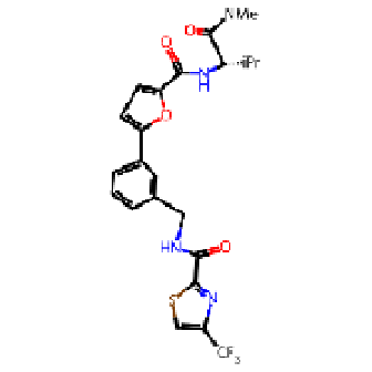 CNC(=O)[C@@H](NC(=O)c1ccc(-c2cccc(CNC(=O)c3nc(C(F)(F)F)cs3)c2)o1)C(C)C